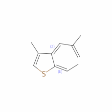 C=C(C)/C=c1/c(C)cs/c1=C/C